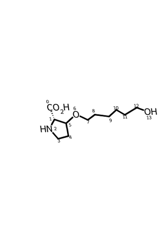 O=C(O)[C@H]1NCCC1OCCCCCCO